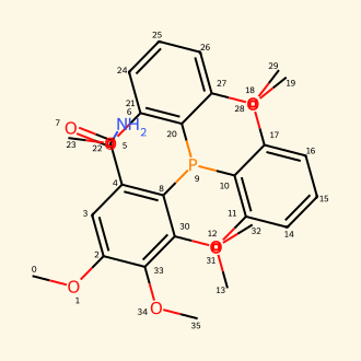 COc1cc(C(N)=O)c(P(c2c(OC)cccc2OC)c2c(OC)cccc2OC)c(OC)c1OC